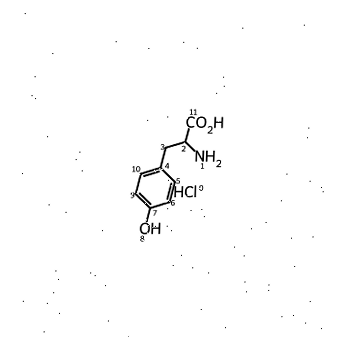 Cl.NC(Cc1ccc(O)cc1)C(=O)O